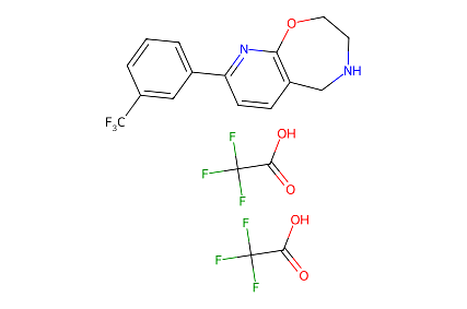 FC(F)(F)c1cccc(-c2ccc3c(n2)OCCNC3)c1.O=C(O)C(F)(F)F.O=C(O)C(F)(F)F